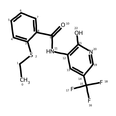 CCSc1ccccc1C(=O)Nc1cc(C(F)(F)F)cnc1O